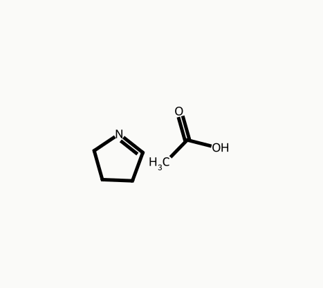 C1=NCCC1.CC(=O)O